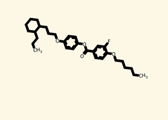 CCCCCCOc1ccc(C(=O)Oc2ccc(OCCCC3CCCCC3CCC)cc2)cc1F